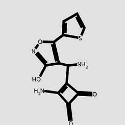 Nc1c(C(N)c2c(O)noc2-c2cccs2)c(=O)c1=O